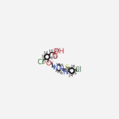 C[C@@H]1CN(CCOc2cc(CC(=O)O)ccc2Cl)CCN1c1nc2ccc(Cl)cc2s1